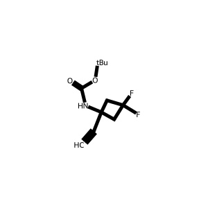 C#CC1(NC(=O)OC(C)(C)C)CC(F)(F)C1